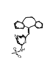 CS(=O)(=O)Nc1cncc(C=C2c3ccccc3CCc3ccccc32)n1